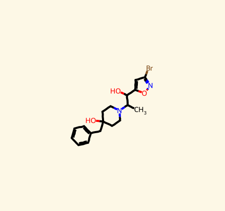 CC(C(O)c1cc(Br)no1)N1CCC(O)(Cc2ccccc2)CC1